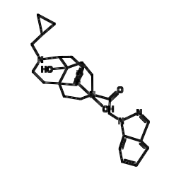 O=C(Cn1ncc2ccccc21)N1CCC23CCN(CC4CC4)C(Cc4ccc(O)cc42)C3(O)CC1